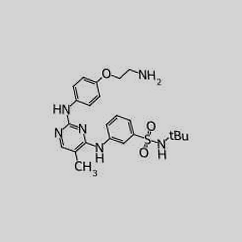 Cc1cnc(Nc2ccc(OCCN)cc2)nc1Nc1cccc(S(=O)(=O)NC(C)(C)C)c1